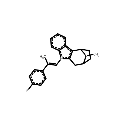 C/C(=C\n1c2c(c3ccccc31)C1CCC(C2)N1C)c1ccc(F)cc1